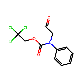 O=[C]CN(C(=O)OCC(Cl)(Cl)Cl)c1ccccc1